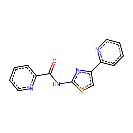 O=C(Nc1nc(-c2ccccn2)cs1)c1ccccn1